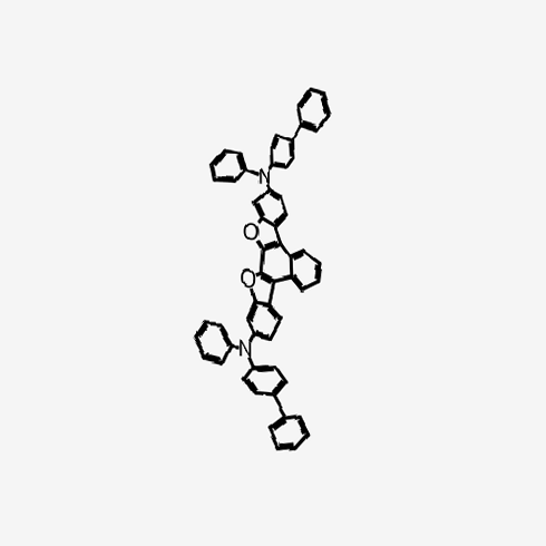 c1ccc(-c2ccc(N(c3ccccc3)c3ccc4c(c3)oc3c5oc6cc(N(c7ccccc7)c7ccc(-c8ccccc8)cc7)ccc6c5c5ccccc5c43)cc2)cc1